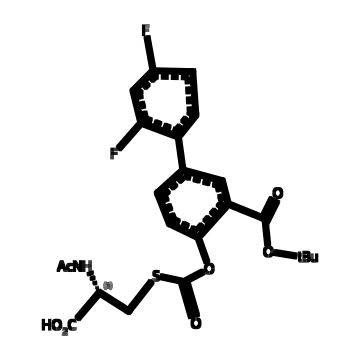 CC(=O)N[C@H](CSC(=O)Oc1ccc(-c2ccc(F)cc2F)cc1C(=O)OC(C)(C)C)C(=O)O